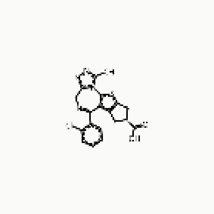 Cc1nnc2n1-c1sc3c(c1C(c1ccccc1Cl)=NC2)C[C@H](C(=O)O)C3